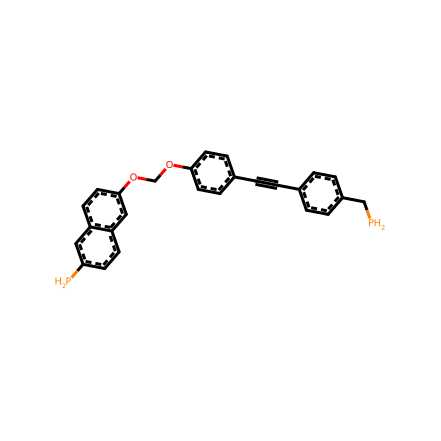 PCc1ccc(C#Cc2ccc(OCOc3ccc4cc(P)ccc4c3)cc2)cc1